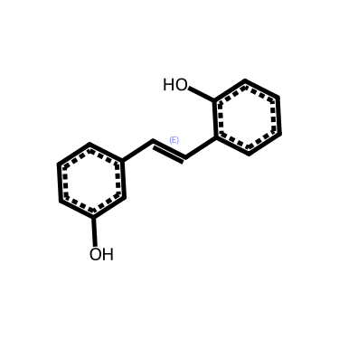 Oc1cccc(/C=C/c2ccccc2O)c1